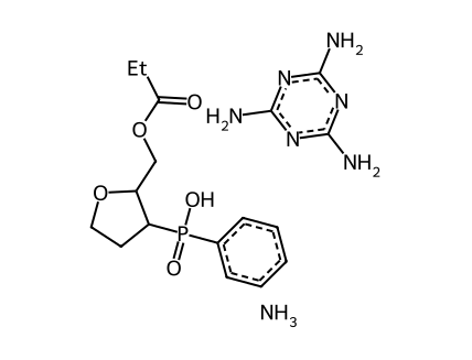 CCC(=O)OCC1OCCC1P(=O)(O)c1ccccc1.N.Nc1nc(N)nc(N)n1